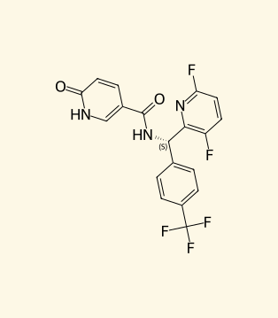 O=C(N[C@@H](c1ccc(C(F)(F)F)cc1)c1nc(F)ccc1F)c1ccc(=O)[nH]c1